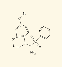 CCOc1ccc2c(c1)OCCC2C(N)S(=O)(=O)c1ccccc1